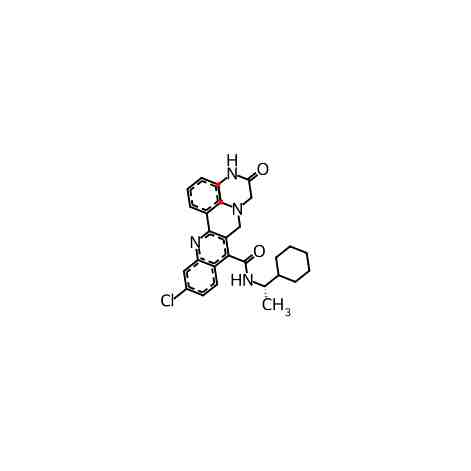 C[C@H](NC(=O)c1c(CN2CCNC(=O)C2)c(-c2ccccc2)nc2cc(Cl)ccc12)C1CCCCC1